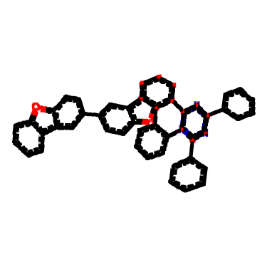 c1ccc(-c2nc(-c3ccccc3)nc(-c3ccccc3-c3ccccc3-c3ccccc3-c3cccc4c3oc3ccc(-c5ccc6oc7ccccc7c6c5)cc34)n2)cc1